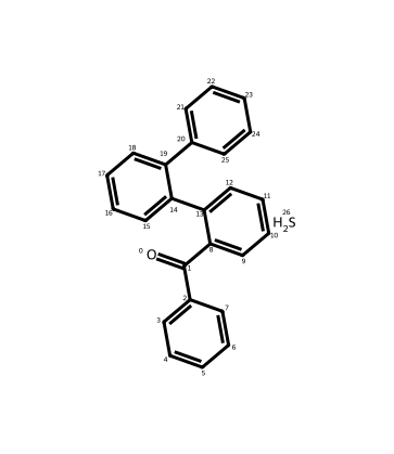 O=C(c1ccccc1)c1ccccc1-c1ccccc1-c1ccccc1.S